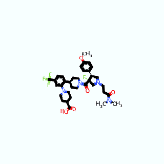 COc1ccc([C@@H]2CN(CCC(=O)N(C)C)C[C@@]2(F)C(=O)N2CCC(c3ccc(C(F)(F)F)cc3N3CCC(C(=O)O)CC3)CC2)cc1